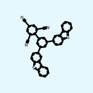 N#Cc1cc(C#N)c(-c2cc(-c3ccc4sc5ccccc5c4c3)cc(-c3ccc4sc5ccccc5c4c3)c2)c(C#N)c1